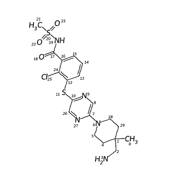 CC1(CN)CCN(c2cnc(Sc3cccc(C(=O)NS(C)(=O)=O)c3Cl)cn2)CC1